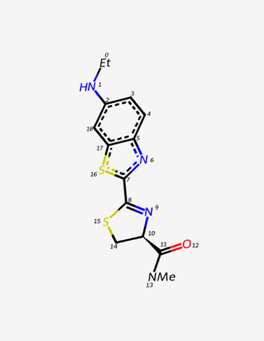 CCNc1ccc2nc(C3=N[C@@H](C(=O)NC)CS3)sc2c1